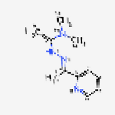 C=C(N/N=C(\C)c1ccccn1)N(C)C